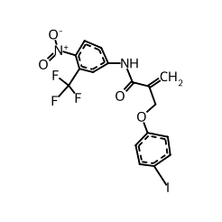 C=C(COc1ccc(I)cc1)C(=O)Nc1ccc([N+](=O)[O-])c(C(F)(F)F)c1